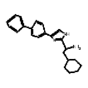 NC(CC1CCCCC1)c1nc(-c2ccc(-c3ccccc3)cc2)c[nH]1